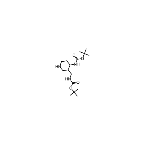 CC(C)(C)OC(=O)NCC1CNCCC1NC(=O)OC(C)(C)C